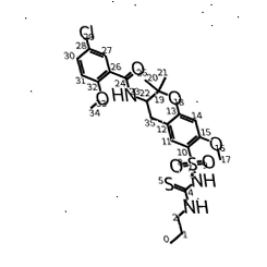 CCCNC(=S)NS(=O)(=O)c1cc2c(cc1OC)OC(C)(C)C(NC(=O)c1cc(Cl)ccc1OC)C2